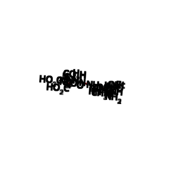 CCC(=O)NCCNC(=O)/N=C(/N)NCCC[C@@H](NC(=O)C(C)c1ccc(NCCCNC(=O)CCNC(=O)CN2CCN(CC(=O)O)CCN(CC(=O)O)CCN(CC(=O)O)CC2)cc1)C(=O)NCc1ccc(O)cc1